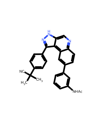 CC(=O)Nc1cccc(-c2ccc3ncc4[nH]nc(-c5ccc(C(C)(C)C#N)cc5)c4c3c2)c1